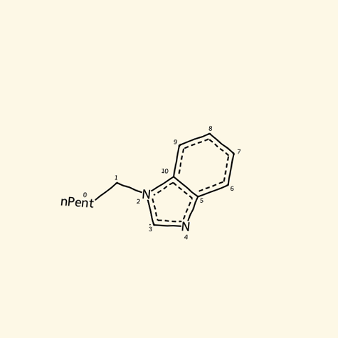 CCCCCCn1[c]nc2ccccc21